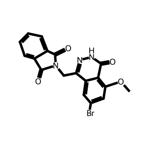 COc1cc(Br)cc2c(CN3C(=O)c4ccccc4C3=O)n[nH]c(=O)c12